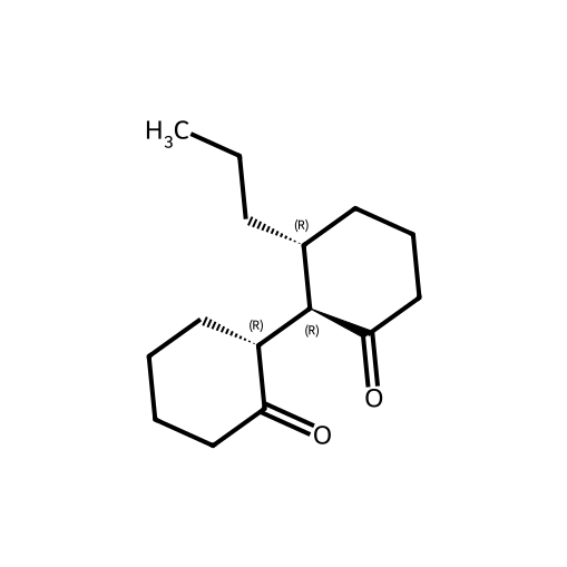 CCC[C@@H]1CCCC(=O)[C@H]1[C@H]1CCCCC1=O